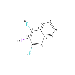 Fc1cc2ccccc2c(F)c1I